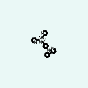 c1ccc(-c2nc(-c3ccc(-n4c5ccccc5c5cccnc54)cc3)nc(-c3ccccn3)n2)nc1